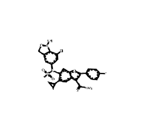 CNC(=O)c1c(-c2ccc(F)cc2)oc2cc(N(c3cc(Cl)c4c(c3)COB4O)S(C)(=O)=O)c(C3CC3)cc12